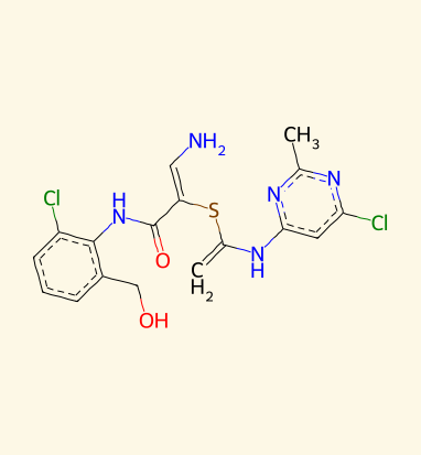 C=C(Nc1cc(Cl)nc(C)n1)S/C(=C\N)C(=O)Nc1c(Cl)cccc1CO